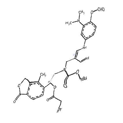 Cc1c([C@H](CN(C/C(C=N)=C/Nc2ccc(OC=O)c(N(C)C)c2)C(=O)OC(C)(C)C)OC(=O)CC(C)C)ccc2c1COC2=O